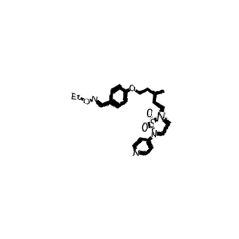 CCON=Cc1ccc(OCCC(C)CCN2CCN(c3ccncc3)S2(=O)=O)cc1